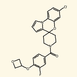 O=C(c1ccc(OC2COC2)c(F)c1)N1CCC2(CC1)Oc1cc(Cl)ccc1-n1cccc12